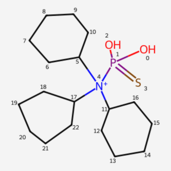 OP(O)(=S)[N+](C1CCCCC1)(C1CCCCC1)C1CCCCC1